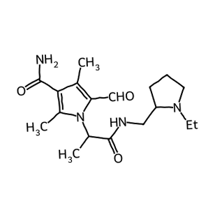 CCN1CCCC1CNC(=O)C(C)n1c(C)c(C(N)=O)c(C)c1C=O